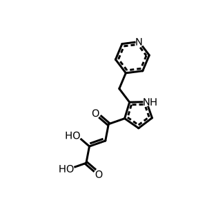 O=C(O)C(O)=CC(=O)c1cc[nH]c1Cc1ccncc1